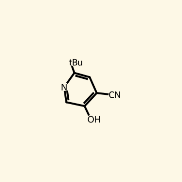 CC(C)(C)c1cc(C#N)c(O)cn1